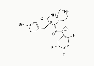 NC(=O)[C@H](Cc1ccc(Br)cc1)N(C(=O)C1(c2cc(F)c(F)cc2F)CC1)C1CCNCC1